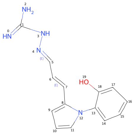 N=C(N)N/N=C/C=C/c1cccn1-c1ccccc1O